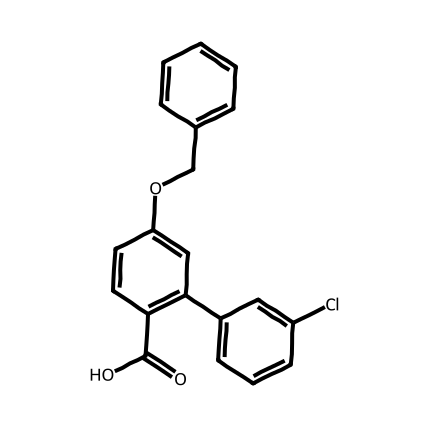 O=C(O)c1ccc(OCc2ccccc2)cc1-c1cccc(Cl)c1